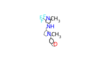 Cc1cc(NCC2CCCN(C(C)c3ccc4c(c3)OCC4)C2)cc(C(F)(F)F)n1